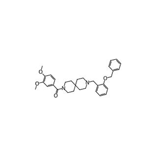 COc1ccc(C(=O)N2CCC3(CCN(Cc4ccccc4OCc4ccccc4)CC3)CC2)cc1OC